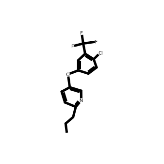 CCCc1ccc(Oc2ccc(Cl)c(C(F)(F)F)c2)cn1